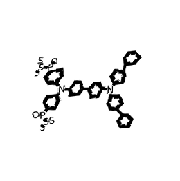 O=P(c1ccc(N(c2ccc(-c3ccc(N(c4ccc(-c5ccccc5)cc4)c4ccc(-c5ccccc5)cc4)cc3)cc2)c2ccc(P(=O)=S(=S)=S)cc2)cc1)=S(=S)=S